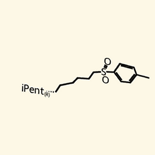 CCC[C@@H](C)CCCCCCS(=O)(=O)c1ccc(C)cc1